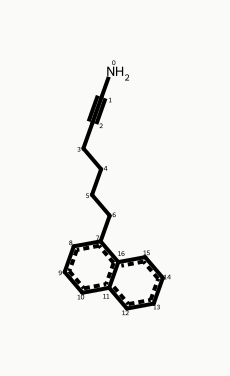 NC#CCCCCc1cccc2ccccc12